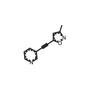 Cc1cc(C#Cc2cccnc2)on1